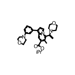 C=C(c1c(C)c(C(=O)OC(C)C)cc2c(-c3cccc(N4CCOCC4)c3)ccn12)N1CCOCC1